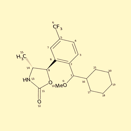 COC(c1ccc(C(F)(F)F)cc1[C@H]1OC(=O)N[C@@H]1C)C1CCCCC1